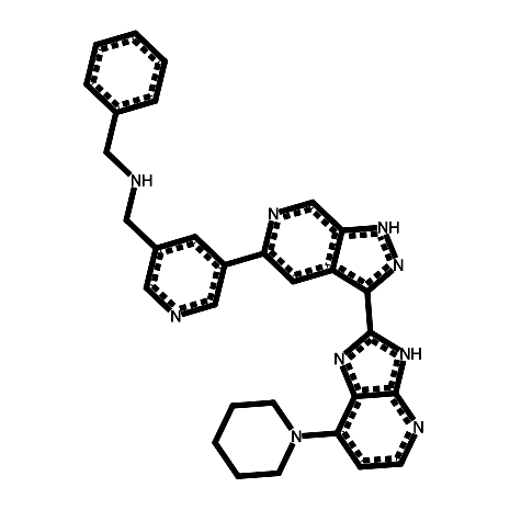 c1ccc(CNCc2cncc(-c3cc4c(-c5nc6c(N7CCCCC7)ccnc6[nH]5)n[nH]c4cn3)c2)cc1